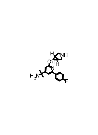 CC(C)(N)c1cc(O[C@@H]2[C@@H]3CNC[C@@H]32)nc(-c2ccc(F)cc2)c1